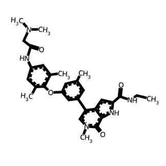 CCNC(=O)c1cc2c(-c3cc(C)cc(Oc4c(C)cc(NC(=O)CN(C)C)cc4C)c3)cn(C)c(=O)c2[nH]1